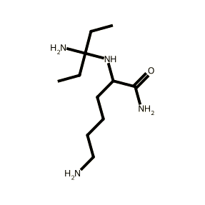 CCC(N)(CC)NC(CCCCN)C(N)=O